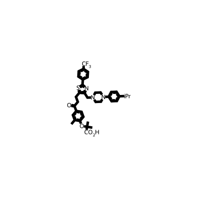 Cc1cc(C(=O)CCc2sc(-c3ccc(C(F)(F)F)cc3)nc2CN2CCN(c3ccc(C(C)C)cc3)CC2)ccc1OC(C)(C)C(=O)O